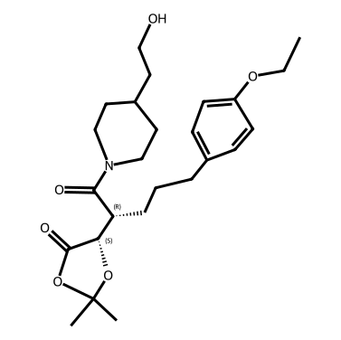 CCOc1ccc(CCC[C@@H](C(=O)N2CCC(CCO)CC2)[C@@H]2OC(C)(C)OC2=O)cc1